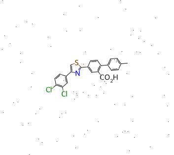 Cc1ccc(-c2ccc(-c3nc(-c4ccc(Cl)c(Cl)c4)cs3)cc2C(=O)O)cc1